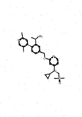 Cc1cc(-c2ccc(COc3cc([C@@H](CP(C)(C)=O)C4CC4)ccn3)cc2C(C)C(C)(C)C)c(F)cn1